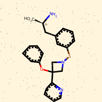 N[C@@H](Cc1cccc(SN2CC(Oc3ccccc3)(c3ccccn3)C2)c1)C(=O)O